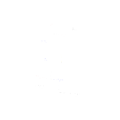 CC(C)(C)OC(=O)Nc1nc(C(O)(NCC(=O)O)C(=O)O)cs1